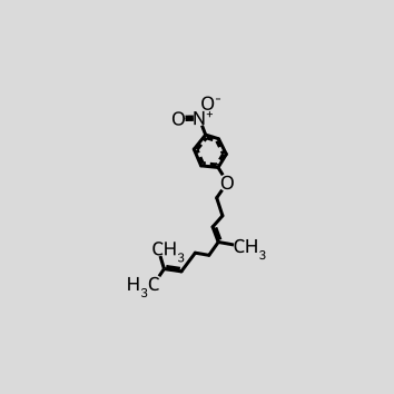 CC(C)=CCC/C(C)=C/CCOc1ccc([N+](=O)[O-])cc1